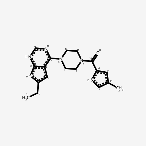 CCc1cc2c(N3CCN(C(=O)c4cc(C)cs4)CC3)ncnc2s1